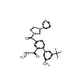 Cc1cc(-c2ccc(C(=O)N3CCC(c4cccnc4)C3)cc2C(=O)NN)cc(C(F)(F)F)c1